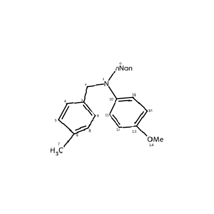 CCCCCCCCCN(Cc1ccc(C)cc1)c1ccc(OC)cc1